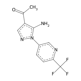 CC(=O)c1cnn(-c2ccc(C(F)(F)F)nc2)c1N